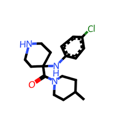 CC1CCN(C(=O)C2(Nc3ccc(Cl)cc3)CCNCC2)CC1